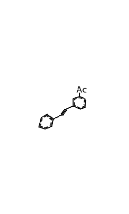 CC(=O)c1cccc(C#Cc2ccccc2)c1